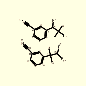 CC(C)(F)C(F)c1cccc(C#N)c1.CC(C)(c1cccc(C#N)c1)C(F)F